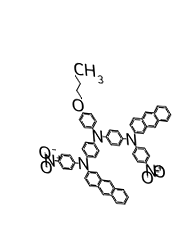 CCCCCOc1ccc(N(c2ccc(N(c3ccc([N+](=O)[O-])cc3)c3ccc4cc5ccccc5cc4c3)cc2)c2ccc(N(c3ccc([N+](=O)[O-])cc3)c3ccc4cc5ccccc5cc4c3)cc2)cc1